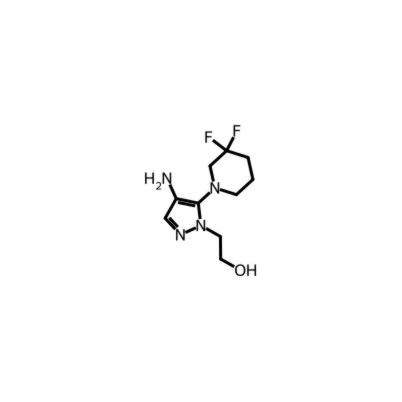 Nc1cnn(CCO)c1N1CCCC(F)(F)C1